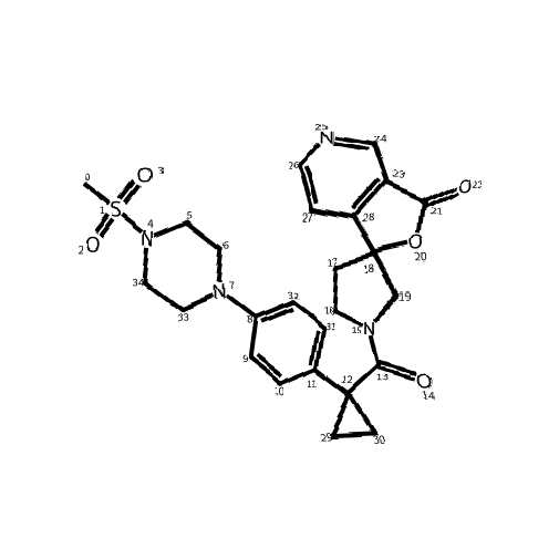 CS(=O)(=O)N1CCN(c2ccc(C3(C(=O)N4CCC5(C4)OC(=O)c4cnccc45)CC3)cc2)CC1